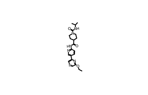 CCOc1cncc(-c2ccc(NC(=O)C3CCN(C(=O)NC(C)C)CC3)nc2)n1